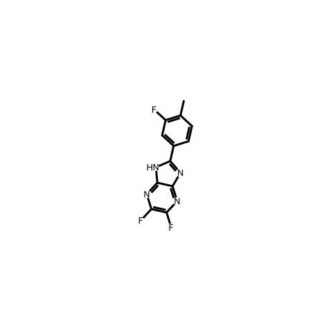 Cc1ccc(-c2nc3nc(F)c(F)nc3[nH]2)cc1F